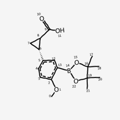 COc1ccc([C@@H]2CC2C(=O)O)cc1B1OC(C)(C)C(C)(C)O1